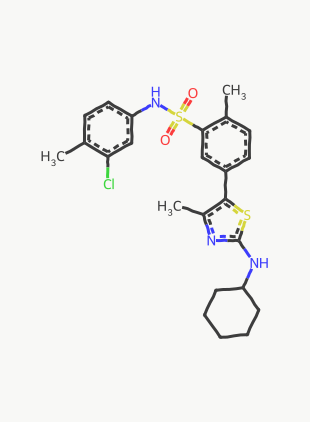 Cc1ccc(NS(=O)(=O)c2cc(-c3sc(NC4CCCCC4)nc3C)ccc2C)cc1Cl